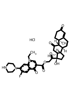 CCn1cc(C(=O)OCC(=O)[C@@]2(O)CC[C@H]3[C@@H]4CCC5=CC(=O)CC[C@]5(C)[C@H]4C(=O)C[C@@]32C)c(=O)c2cc(F)c(N3CCNCC3)cc21.Cl